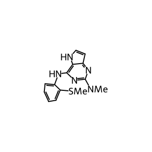 CNc1nc(Nc2ccccc2SC)c2[nH]ccc2n1